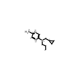 CCCN(CC1CC1)c1cnc(N)cn1